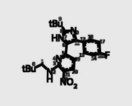 CC(C)(C)CNc1nc(-c2[nH]c(C(C)(C)C)nc2-c2ccc(F)cc2)ccc1[N+](=O)[O-]